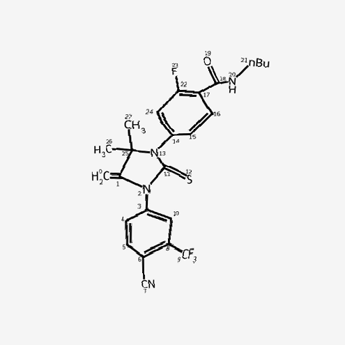 C=C1N(c2ccc(C#N)c(C(F)(F)F)c2)C(=S)N(c2ccc(C(=O)NCCCC)c(F)c2)C1(C)C